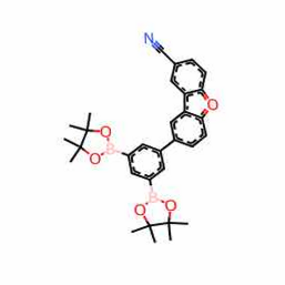 CC1(C)OB(c2cc(B3OC(C)(C)C(C)(C)O3)cc(-c3ccc4oc5ccc(C#N)cc5c4c3)c2)OC1(C)C